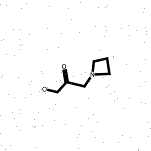 [O]CC(=O)CN1CCC1